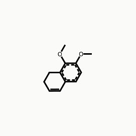 COc1ccc2c(c1OC)CCC=C2